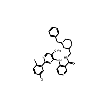 COc1cnc(-c2cc(Cl)ccc2F)nc1Nc1ccncc1C(=O)NCC1CN(Cc2ccccc2)CCO1